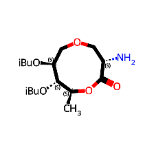 CC(C)CO[C@H]1[C@H](C)OC(=O)[C@@H](N)COC[C@@H]1OCC(C)C